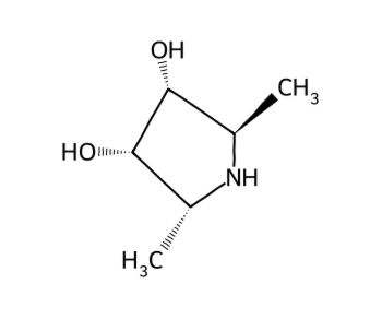 C[C@H]1N[C@H](C)[C@@H](O)[C@H]1O